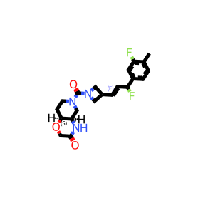 Cc1ccc(C(F)/C=C/C2CN(C(=O)N3CC[C@@H]4OCC(=O)N[C@@H]4C3)C2)cc1F